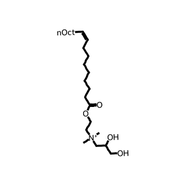 CCCCCCCC/C=C\CCCCCCCC(=O)OCC[N+](C)(C)CC(O)CO